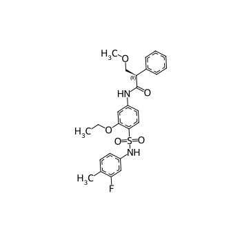 CCOc1cc(NC(=O)[C@@H](COC)c2ccccc2)ccc1S(=O)(=O)Nc1ccc(C)c(F)c1